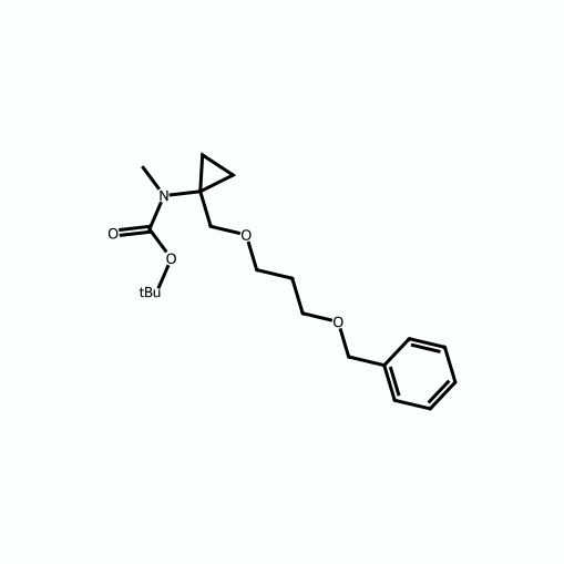 CN(C(=O)OC(C)(C)C)C1(COCCCOCc2ccccc2)CC1